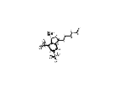 CCCCCCC1CCc2c1cc(S(=O)(=O)[O-])cc2[N+](=O)[O-].[Na+]